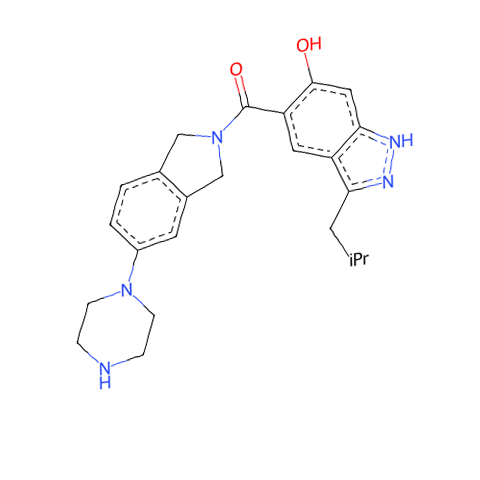 CC(C)Cc1n[nH]c2cc(O)c(C(=O)N3Cc4ccc(N5CCNCC5)cc4C3)cc12